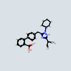 CC(C=S)c1nc(Cc2ccc(-c3ccccc3C(=O)O)cc2)n(C2CCCCC2)n1